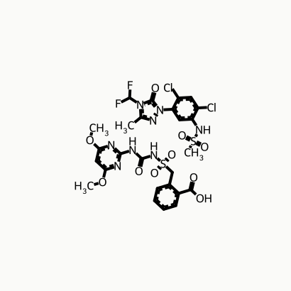 COc1cc(OC)nc(NC(=O)NS(=O)(=O)Cc2ccccc2C(=O)O)n1.Cc1nn(-c2cc(NS(C)(=O)=O)c(Cl)cc2Cl)c(=O)n1C(F)F